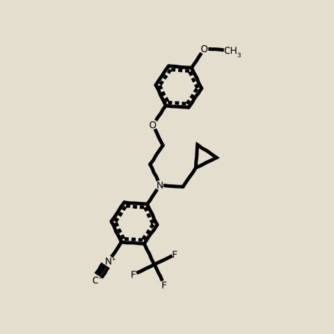 [C-]#[N+]c1ccc(N(CCOc2ccc(OC)cc2)CC2CC2)cc1C(F)(F)F